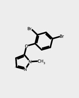 Cn1n[c]cc1Oc1ccc(Br)cc1Br